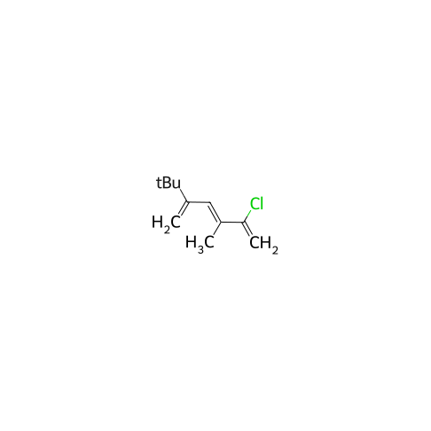 C=C(Cl)/C(C)=C/C(=C)C(C)(C)C